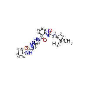 Cc1ccc(/C=C/C(=O)Nc2ccccc2C(=O)NCc2cn(CC(=O)Nc3ccccc3)nn2)cc1C